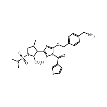 CC1CN(S(=O)(=O)N(C)C)C(C(=O)O)C1c1nc(OCc2ccc(CN)cc2)n(C(=O)c2ccsc2)n1